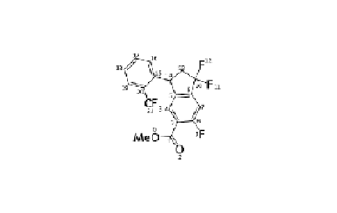 COC(=O)c1cc2c(cc1F)C(F)(F)CC2c1ccccc1C(F)(F)F